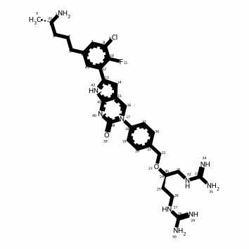 C[C@H](N)CCCc1cc(Cl)c(F)c(-c2cc3cn(-c4ccc(CO[C@H](CCNC(=N)N)CNC(=N)N)cc4)c(=O)nc3[nH]2)c1